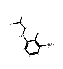 CNc1cccc(OCC(F)F)c1C